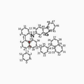 c1ccc(-c2ccc(-c3ccccc3N(c3cccc(-c4cccc(-c5cccc6ccccc56)c4)c3)c3ccc4c(c3)sc3ccccc34)cc2)cc1